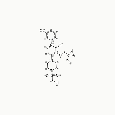 O=c1c(OCC2(CF)CC2)c(N2CCN(S(=O)(=O)CCl)CC2)cnn1-c1cccc(Cl)c1